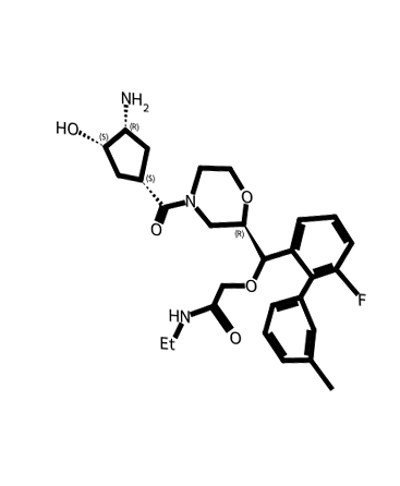 CCNC(=O)COC(c1cccc(F)c1-c1cccc(C)c1)[C@H]1CN(C(=O)[C@H]2C[C@@H](N)[C@@H](O)C2)CCO1